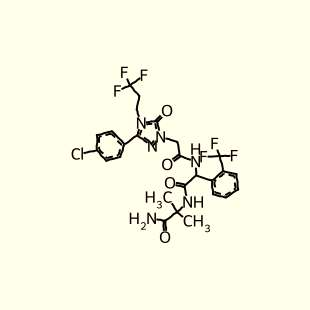 CC(C)(NC(=O)C(NC(=O)Cn1nc(-c2ccc(Cl)cc2)n(CCC(F)(F)F)c1=O)c1ccccc1C(F)(F)F)C(N)=O